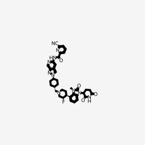 Cn1c(=O)n(C2CCC(=O)NC2=O)c2cccc([C@@H]3CCN(C[C@H]4CC[C@H](n5cc6cc(NC(=O)c7cccc(C#N)n7)ncc6n5)CC4)C[C@H]3F)c21